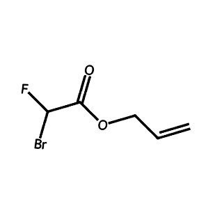 C=CCOC(=O)C(F)Br